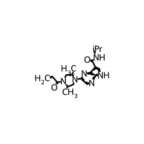 C=CC(=O)N1C[C@@H](C)N(c2cnc3[nH]cc(C(=O)NC(C)C)c3n2)CC1C